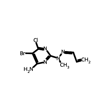 C=C/C=N\N(C)c1nc(N)c(Br)c(Cl)n1